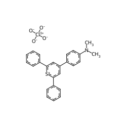 CN(C)c1ccc(-c2cc(-c3ccccc3)[s+]c(-c3ccccc3)c2)cc1.[O-][Cl+3]([O-])([O-])[O-]